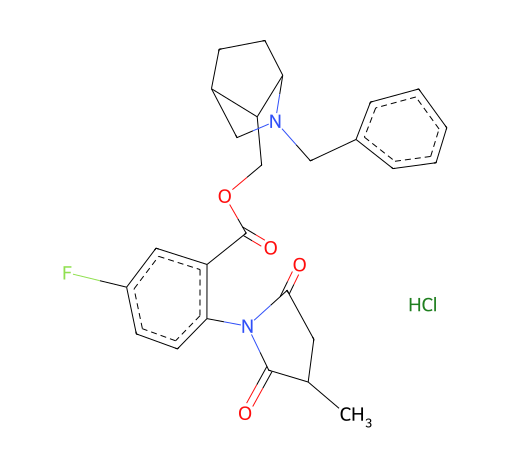 CC1CC(=O)N(c2ccc(F)cc2C(=O)OCC2C3CCC2N(Cc2ccccc2)C3)C1=O.Cl